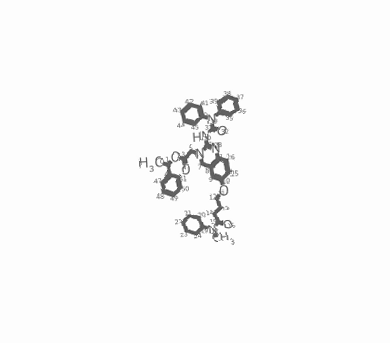 CC(OC(=O)CN1Cc2cc(OCCCC(=O)N(C)C3CCCCC3)ccc2N=C1NC(=O)N(c1ccccc1)c1ccccc1)c1ccccc1